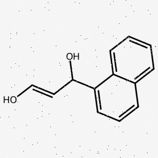 OC=CC(O)c1cccc2ccccc12